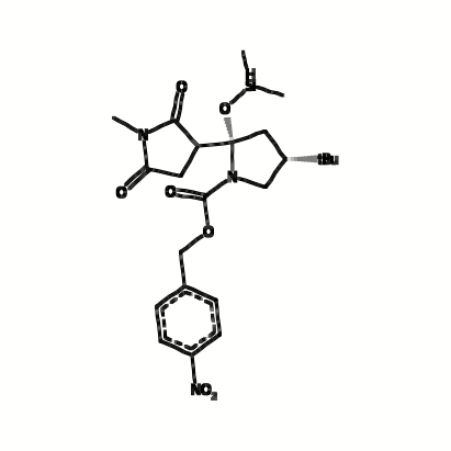 CN1C(=O)CC([C@@]2(O[SiH](C)C)C[C@H](C(C)(C)C)CN2C(=O)OCc2ccc([N+](=O)[O-])cc2)C1=O